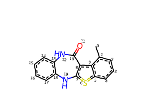 Cc1cccc2sc3c(c12)C(=O)Nc1ccccc1N3